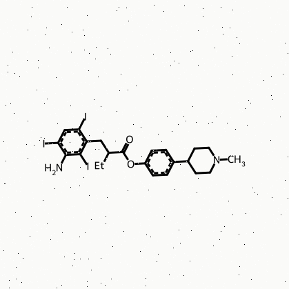 CCC(Cc1c(I)cc(I)c(N)c1I)C(=O)Oc1ccc(C2CCN(C)CC2)cc1